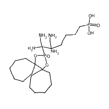 NC(N)(CCCCP(=O)(O)O)C(N)(N)P1(=O)OC2(CCCCCC2)C2(CCCCCC2)O1